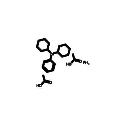 CC(=O)O.CC(=O)O.P.c1cc[c]([Pd]([CH]2CCCCC2)[CH]2CCCCC2)cc1